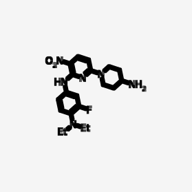 CCN(CC)c1ccc(Nc2nc(N3CCC(N)CC3)ccc2[N+](=O)[O-])cc1F